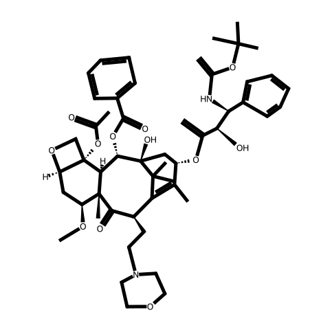 C=C(N[C@@H](c1ccccc1)[C@@H](O)C(=C)O[C@H]1C[C@@]2(O)[C@@H](OC(=O)c3ccccc3)[C@@H]3[C@]4(OC(C)=O)CO[C@@H]4C[C@H](OC)[C@@]3(C)C(=O)[C@H](CCN3CCOCC3)C(=C1C)C2(C)C)OC(C)(C)C